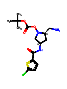 CC(C)(C)OC(=O)ON1C[C@H](NC(=O)c2ccc(Cl)s2)C[C@H]1CN